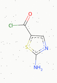 Nc1ncc(C(=O)Cl)s1